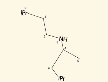 CC(C)CCNC(C)CC(C)C